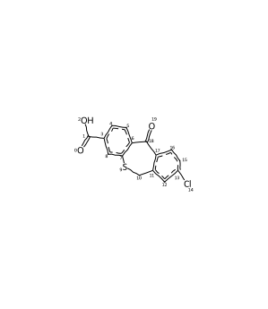 O=C(O)c1ccc2c(c1)SCc1cc(Cl)ccc1C2=O